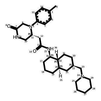 Cc1ccc(N2CC(=O)NC[C@H]2CC(=O)N[C@@H]2CCC[C@@H]3C[C@H](CN4CCCCC4)CC[C@H]32)cc1